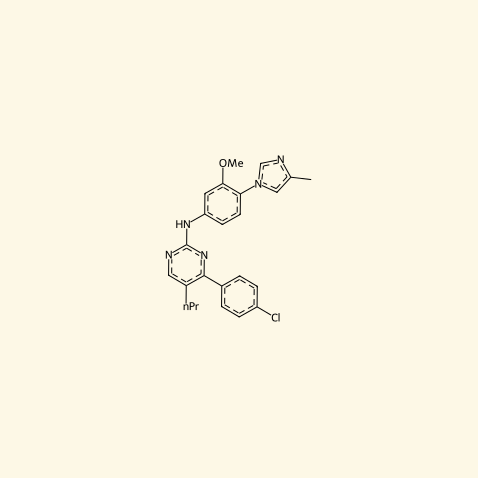 CCCc1cnc(Nc2ccc(-n3cnc(C)c3)c(OC)c2)nc1-c1ccc(Cl)cc1